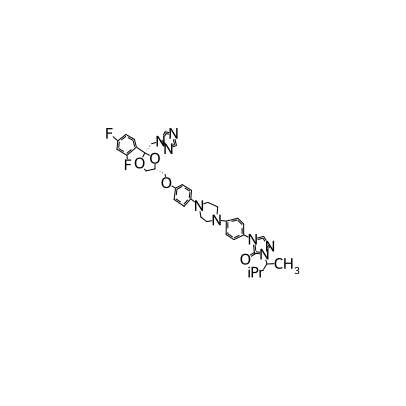 CC(C)C(C)n1ncn(-c2ccc(N3CCN(c4ccc(OC[C@@H]5CO[C@@](Cn6cncn6)(c6ccc(F)cc6F)O5)cc4)CC3)cc2)c1=O